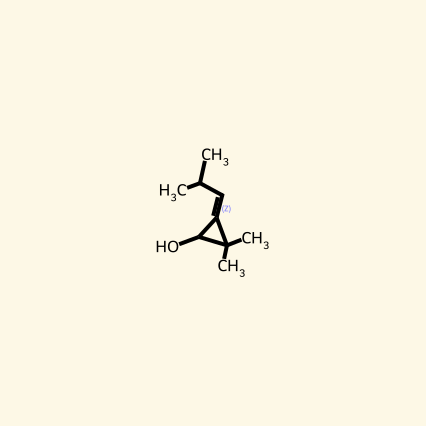 CC(C)/C=C1\C(O)C1(C)C